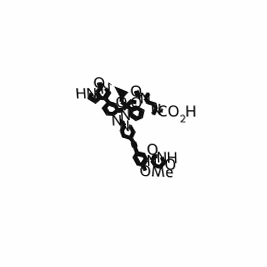 COc1ccc(C#CC2CCN(c3nc(C(COC(=O)N(C)CCN(C)C(=O)O)(OC4CC4)c4ccccc4)c4cc(-c5cn(C)c(=O)c6[nH]ccc56)ccc4n3)CC2)cc1N1CCC(=O)NC1=O